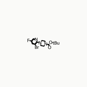 CC(C)(C)OC(=O)N1CCN(c2ncc(F)cc2Br)CC1